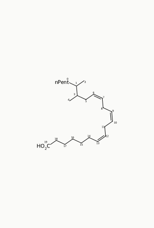 CCCCCC(C)C(C)C/C=C\C/C=C\C/C=C\CCCCCC(=O)O